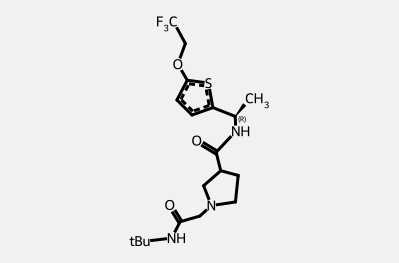 C[C@@H](NC(=O)C1CCN(CC(=O)NC(C)(C)C)C1)c1ccc(OCC(F)(F)F)s1